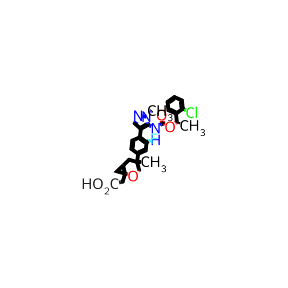 C[C@@H](OC(=O)Nc1c(-c2ccc(C3(C)COC4(CC(=O)O)CC4C3)cc2F)cnn1C)c1ccccc1Cl